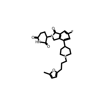 Cc1ccc(CCCN2CCC(c3cc(F)cc4c3CN(C3CCC(=O)NC3=O)C4=O)CC2)o1